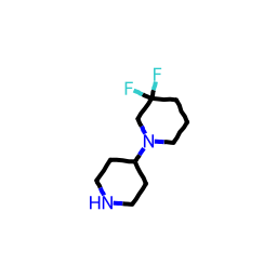 FC1(F)CCCN(C2CCNCC2)C1